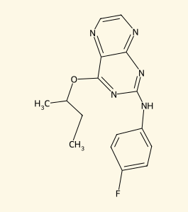 CCC(C)Oc1nc(Nc2ccc(F)cc2)nc2nccnc12